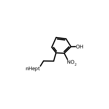 CCCCCCCCCc1cccc(O)c1[N+](=O)[O-]